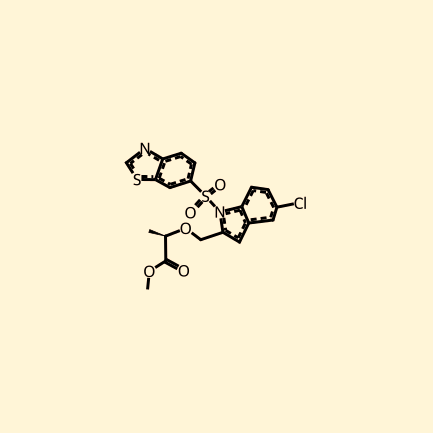 COC(=O)[C@@H](C)OCc1cc2cc(Cl)ccc2n1S(=O)(=O)c1ccc2ncsc2c1